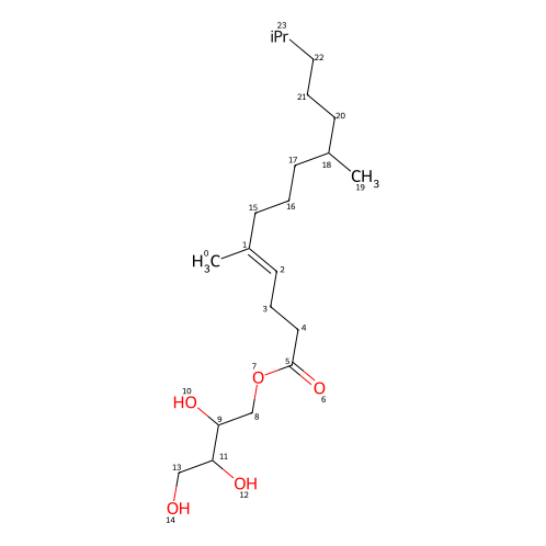 CC(=CCCC(=O)OCC(O)C(O)CO)CCCC(C)CCCC(C)C